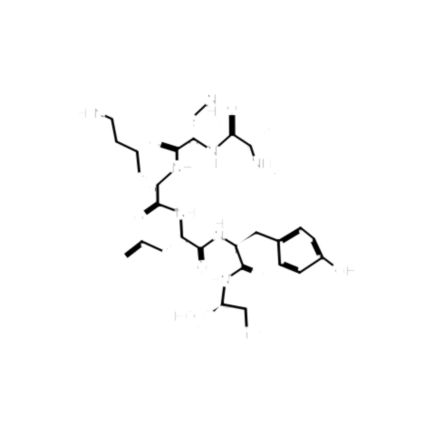 C=CC[C@H](NC(=O)[C@H](CCCCN)NC(=O)[C@H](CN)NC(=O)[C@H](C)N)C(=O)N[C@@H](Cc1ccc(O)cc1)C(=O)N[C@@H](CC(C)C)C(=O)O